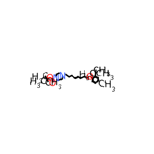 Cc1ccc(OCCCC=CCCCN2CCN(C(=O)OC(C)(C)C)CC2)c(C(C)(C)C)c1